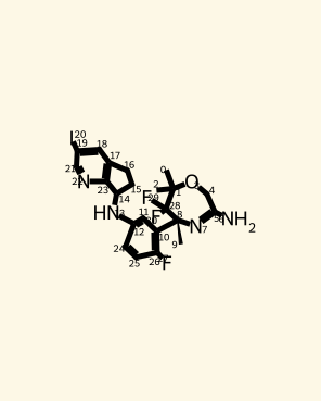 CC1(C)OCC(N)=N[C@](C)(c2cc(NC3CCc4cc(I)cnc43)ccc2F)C1(F)F